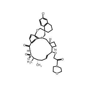 C[C@@H]1[C@@H](C)C/C=C/[C@H](OCC(=O)N2CCOCC2)[C@@H]2CC[C@H]2CN2C[C@@]3(CCCc4cc(Cl)ccc43)COc3ccc(cc32)C(=O)NS1(=O)=O